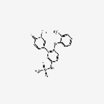 Cn1cc(-c2cc(NS(C)(=O)=O)ccc2Oc2ccccc2C(F)(F)F)ccc1=O